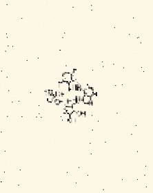 Fc1ccc(F)c(CNc2ncnc3nc[nH]c23)c1F.O=P(O)(O)OC[C@H]1OC(O)[C@H](O)[C@@H]1O